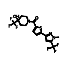 Cn1nc(-c2ccc(C(=O)N3CCC(O)(C(F)(F)F)CC3)s2)cc1C(F)(F)F